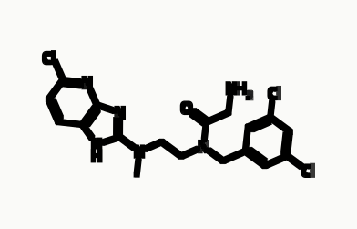 CN(CCN(Cc1cc(Cl)cc(Cl)c1)C(=O)CN)c1nc2nc(Cl)ccc2[nH]1